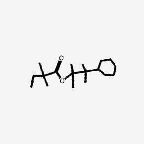 CCC(C)(C)C(=O)OC(C)(C)C(C)(C)C1CCCCC1